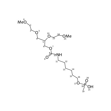 COCCOCC(COC(=O)NCCCCCCOP(C)(=O)O)OCCOC